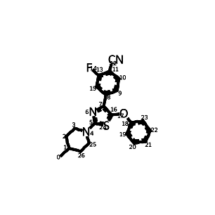 CC1CCN(c2nc(-c3ccc(C#N)c(F)c3)c(Oc3ccccc3)s2)CC1